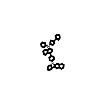 c1ccc(-c2ccc(N(c3ccccc3)c3ccc(-c4ccc(-n5c6ccccc6c6cc7ccccc7cc65)cc4)c4ccccc34)cc2)cc1